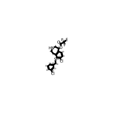 O=C(OC1CNCCc2c1ccc(Cl)c2SCc1cccc(Cl)c1)C(F)(F)F